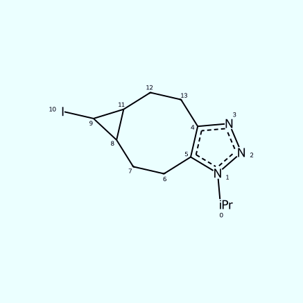 CC(C)n1nnc2c1CCC1C(I)C1CC2